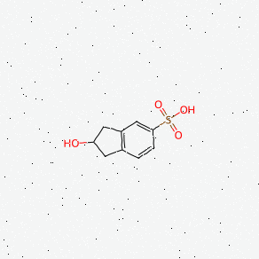 O=S(=O)(O)c1ccc2c(c1)CC(O)C2